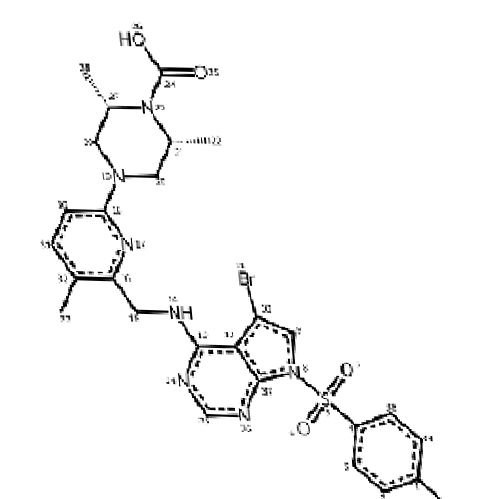 Cc1ccc(S(=O)(=O)n2cc(Br)c3c(NCc4nc(N5C[C@@H](C)N(C(=O)O)[C@@H](C)C5)ccc4C)ncnc32)cc1